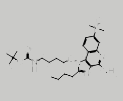 CCCCc1nc2c(N)nc3cc(P(C)(C)=O)ccc3c2n1OCCCCNC(=O)OC(C)(C)C